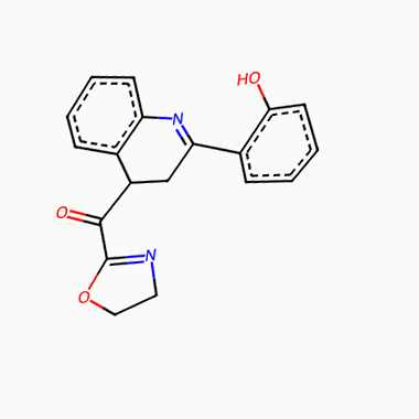 O=C(C1=NCCO1)C1CC(c2ccccc2O)=Nc2ccccc21